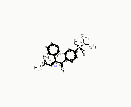 CN(C)/C=C(/C(=O)c1ccc(S(=O)(=O)N(C)C)cc1)c1ccccc1